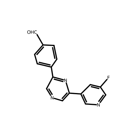 O=Cc1ccc(-c2cncc(-c3cncc(F)c3)n2)cc1